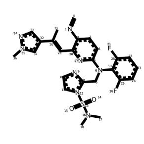 C=Nc1ccc(N(Cc2nccn2S(=O)(=O)N(C)C)c2c(F)cccc2F)nc1/C=C(\C)c1cnn(C)c1